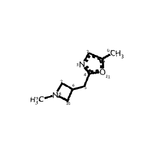 Cc1cnc(CC2CN(C)C2)o1